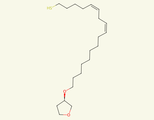 SCCCC/C=C\C/C=C\CCCCCCCCO[C@@H]1CCOC1